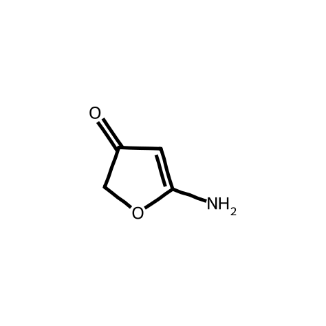 NC1=CC(=O)CO1